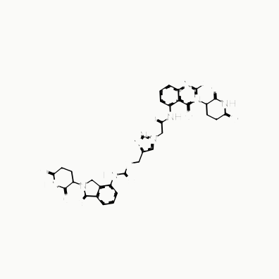 Cc1nc2cccc(NC(=O)Cn3cc(COC(=O)Nc4cccc5c4CN(C4CCC(=O)NC4=O)C5=O)nn3)c2c(=O)n1C1CCC(=O)NC1=O